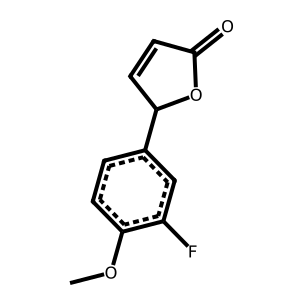 COc1ccc(C2C=CC(=O)O2)cc1F